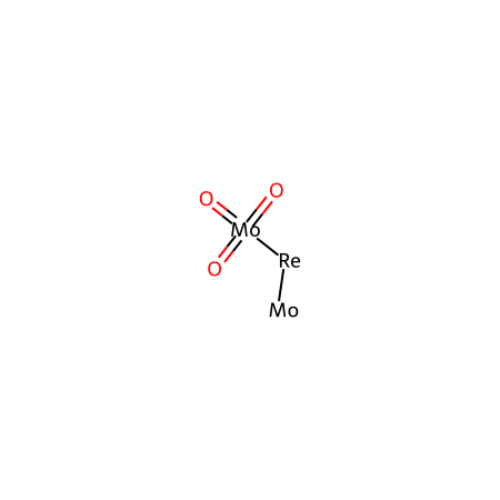 [O]=[Mo](=[O])(=[O])[Re][Mo]